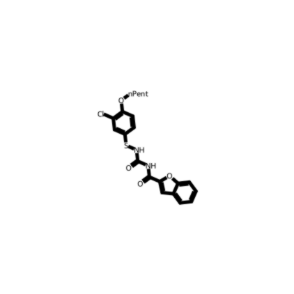 CCCCCOc1ccc(SNC(=O)NC(=O)c2cc3ccccc3o2)cc1Cl